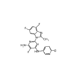 Cc1nc2c(F)cc(F)cc2n1-c1nc(N)c(F)c(Nc2ccc(Cl)cc2)n1